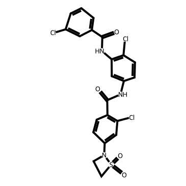 O=C(Nc1cc(NC(=O)c2ccc(N3CCS3(=O)=O)cc2Cl)ccc1Cl)c1cccc(Cl)c1